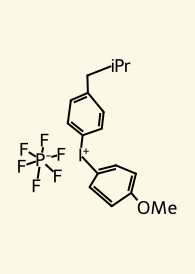 COc1ccc([I+]c2ccc(CC(C)C)cc2)cc1.F[P-](F)(F)(F)(F)F